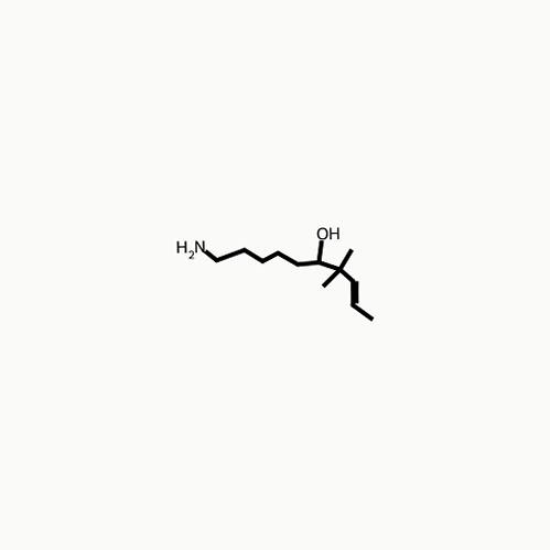 CC=CC(C)(C)C(O)CCCCCN